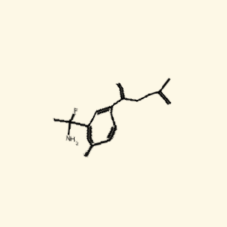 C=C(C)CCC(=C)c1ccc(C)c(C(C)(N)F)c1